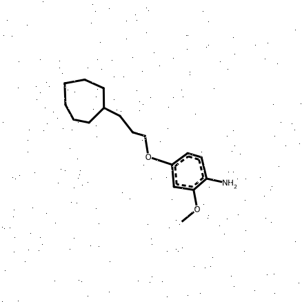 COc1cc(OCCCC2CCCCCC2)ccc1N